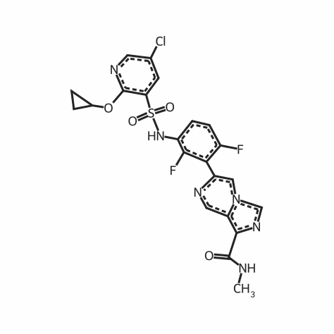 CNC(=O)c1ncn2cc(-c3c(F)ccc(NS(=O)(=O)c4cc(Cl)cnc4OC4CC4)c3F)ncc12